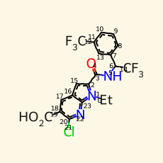 CCn1c(C(=O)NC(c2cccc(C(F)(F)F)c2)C(F)(F)F)cc2cc(C(=O)O)c(Cl)nc21